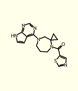 O=C(c1cncs1)N1CCCN(c2ncnc3[nH]ccc23)CC12CC2